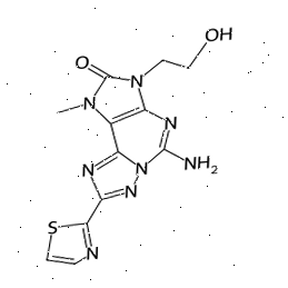 Cn1c(=O)n(CCO)c2nc(N)n3nc(-c4nccs4)nc3c21